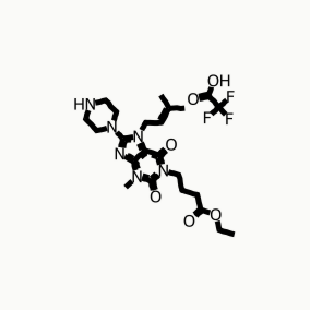 CCOC(=O)CCCn1c(=O)c2c(nc(N3CCNCC3)n2CC=C(C)C)n(C)c1=O.O=C(O)C(F)(F)F